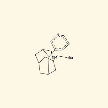 CC(C)(C)CC12CC3CC(C1)C(O)(c1cccnc1)C(C3)C2